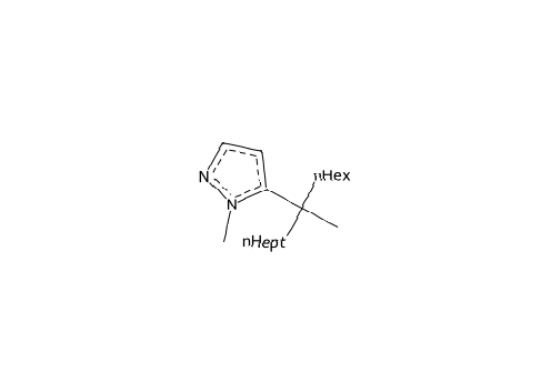 CCCCCCCC(C)(CCCCCC)c1ccnn1C